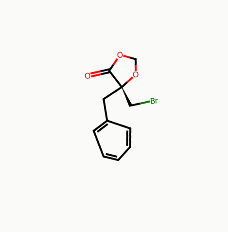 O=C1OCO[C@]1(CBr)Cc1ccccc1